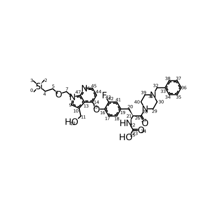 C[Si](C)(C)CCOCn1cc(CO)c2c(Oc3ccc(C[C@H](NC(=O)O)C(=O)N4CCN(Cc5ccccc5)CC4)cc3F)ccnc21